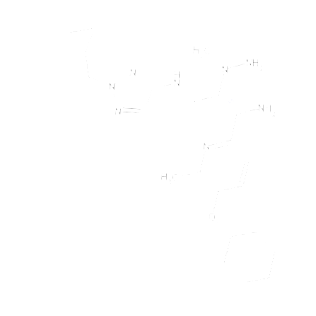 Cc1nc(/C(N)=C(\CNc2cnn(CC3CC3)n2)N(C)N)ccc1OC1CCCCC1